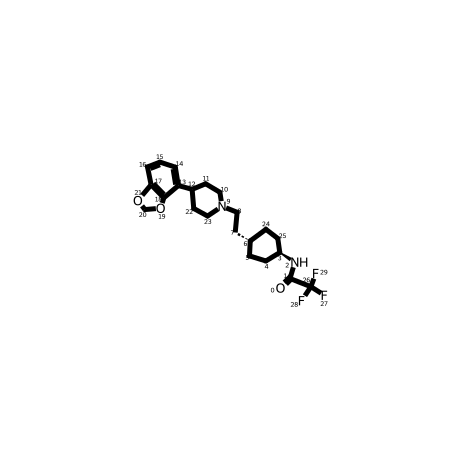 O=C(N[C@H]1CC[C@H](CCN2CCC(c3cccc4c3OCO4)CC2)CC1)C(F)(F)F